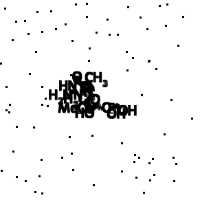 CO[C@]1(C)C(O)[C@@H](COP(O)CO)O[C@H]1n1cc(C)c2c(=O)[nH]c(N)nc21